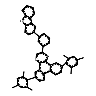 Cc1cc(C)c(-c2ccc3c4ccc(-c5c(C)cc(C)cc5C)cc4c4nc(-c5cccc(-c6ccc7oc8ccccc8c7c6)c5)cnc4c3c2)c(C)c1